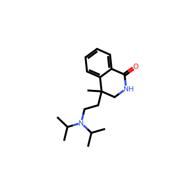 CC(C)N(CCC1(C)CNC(=O)c2ccccc21)C(C)C